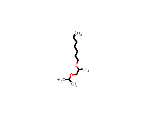 [CH2]C(C)OCC(C)OCCCCCCC